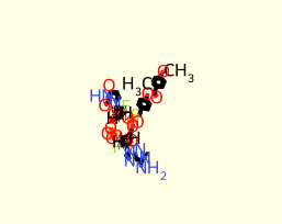 COc1ccc(C(=O)Oc2ccc(CSP3(=O)OC[C@H]4O[C@@H](n5cnc6c(N)ncnc65)[C@H](F)[C@@H]4OP(=O)(O)OC[C@H]4O[C@@H](n5ccc(=O)[nH]c5=O)[C@H](F)[C@@H]4O3)cc2)c(C)c1